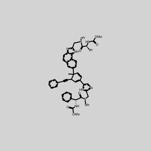 CCCN(Cc1nc2ccc3cc(C4(C)C=CC(c5cnc(CN(CCC)C(=O)[C@H](NC(=O)OC)c6ccccc6)[nH]5)=CC4C#Cc4ccccc4)ccc3c2[nH]1)C(=O)[C@@H](NC(=O)OC)C(C)C